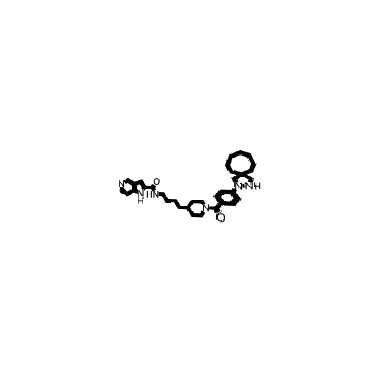 O=C(NCCCCC1CCN(C(=O)c2ccc(N3CC4(CCCCCCC4)CN3)cc2)CC1)c1cc2cnccc2[nH]1